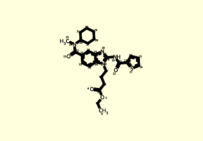 CCOC(=O)CCCn1c(NC(=O)c2cccs2)nc2cc(C(=O)N(C)C3CCCCC3)ccc21